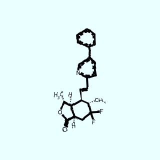 C[C@H]1OC(=O)[C@@H]2CC(F)(F)[C@@H](C)[C@H](/C=C/c3ccc(-c4ccccc4)cn3)[C@H]12